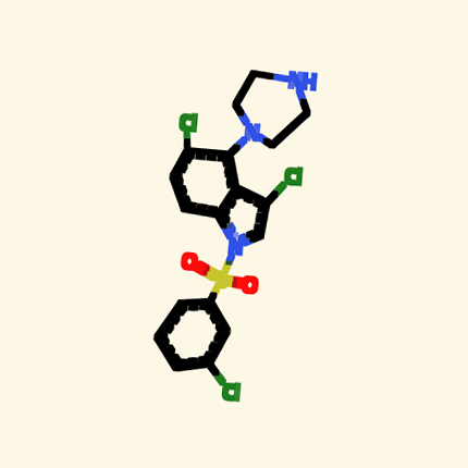 O=S(=O)(c1cccc(Cl)c1)n1cc(Cl)c2c(N3CCNCC3)c(Cl)ccc21